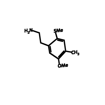 COc1cc(CCN)c(SC)cc1C